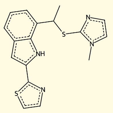 CC(Sc1nccn1C)c1cccc2cc(-c3nccs3)[nH]c12